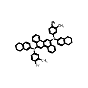 Cc1cc(N(c2ccc3c(c2)CCCC3)c2cc3c4ccccc4c(N(c4ccc(C(C)C)c(C)c4)c4ccc5c(c4)CCCC5)cc3c3ccccc23)ccc1C(C)C